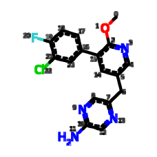 COc1ncc(Cc2cnc(N)cn2)cc1-c1ccc(F)c(Cl)c1